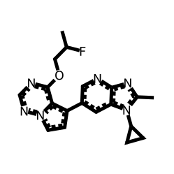 Cc1nc2ncc(-c3ccn4ncnc(OCC(C)F)c34)cc2n1C1CC1